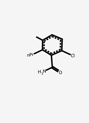 CCCc1c(C)ccc(Cl)c1C(N)=O